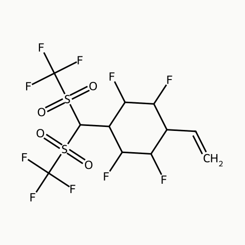 C=CC1C(F)C(F)C(C(S(=O)(=O)C(F)(F)F)S(=O)(=O)C(F)(F)F)C(F)C1F